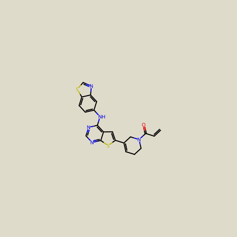 C=CC(=O)N1CCC=C(c2cc3c(Nc4ccc5scnc5c4)ncnc3s2)C1